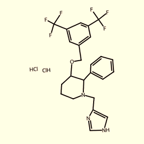 Cl.Cl.FC(F)(F)c1cc(COC2CCCN(Cc3c[nH]cn3)C2c2ccccc2)cc(C(F)(F)F)c1